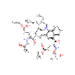 CCCCC(CC)Cn1c2ccc(C(=O)/C(CCC(=O)OCC)=N\CC(C)=O)cc2c2cc(C(=O)/C(CCC(=O)OCC)=N/OC(C)O)c3ccccc3c21